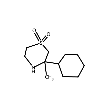 CC1(C2CCCCC2)CS(=O)(=O)CCN1